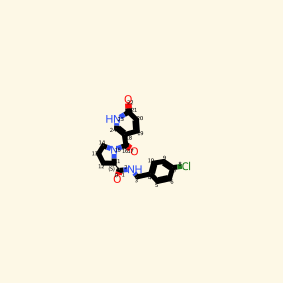 O=C(NCc1ccc(Cl)cc1)[C@@H]1CCCN1C(=O)c1ccc(=O)[nH]c1